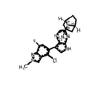 Cn1cc2c(Cl)c(-c3c[nH]c4nc(N5[C@@H]6CC[C@H]5C[C@@H](N)C6)cnc34)cc(F)c2n1